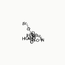 Cc1ncsc1-c1ccc(CNC(=O)[C@@H]2C[C@@H](O)CN2C(=O)[C@@H](NC(=O)CCCCOCCCCCBr)C(C)(C)C)cc1